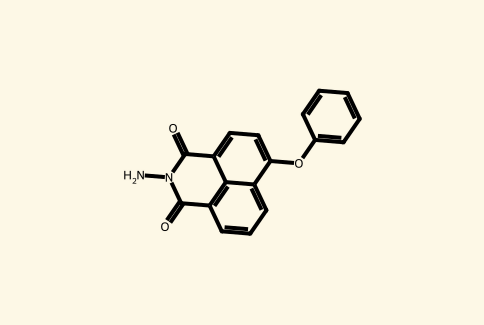 NN1C(=O)c2cccc3c(Oc4ccccc4)ccc(c23)C1=O